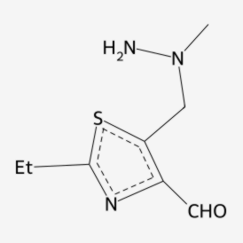 CCc1nc(C=O)c(CN(C)N)s1